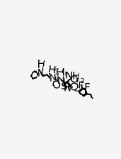 CCc1ccc(COc2nsc(NC(=O)NCCCNC3CCCCC3)c2C(N)=O)c(F)c1F